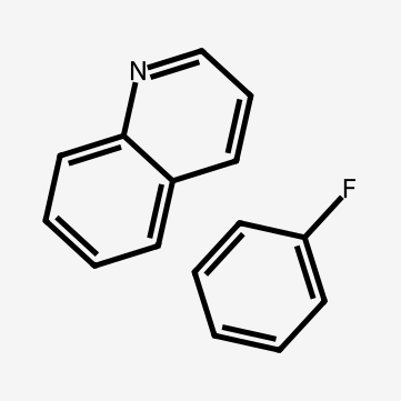 Fc1ccccc1.c1ccc2ncccc2c1